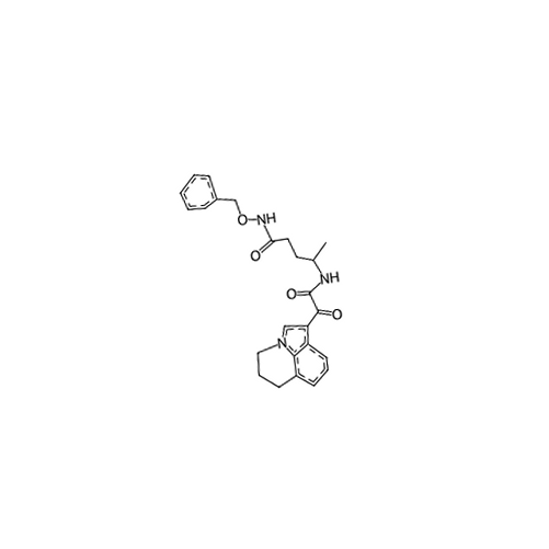 CC(CCC(=O)NOCc1ccccc1)NC(=O)C(=O)c1cn2c3c(cccc13)CCC2